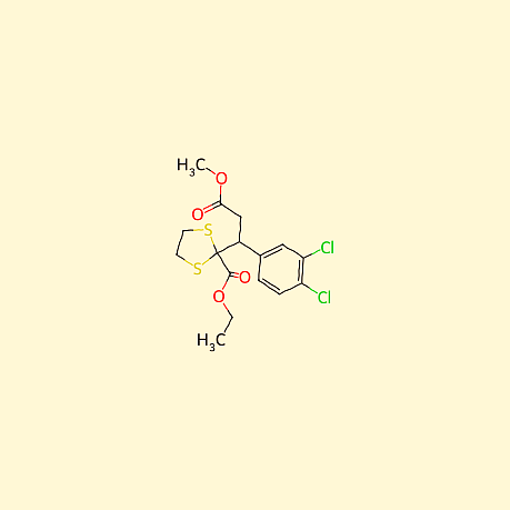 CCOC(=O)C1(C(CC(=O)OC)c2ccc(Cl)c(Cl)c2)SCCS1